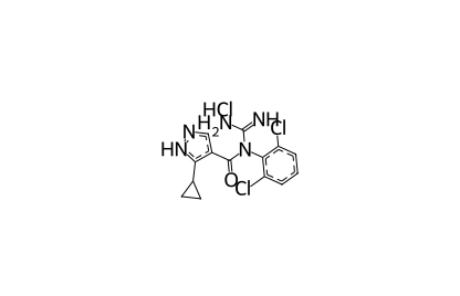 Cl.N=C(N)N(C(=O)c1cn[nH]c1C1CC1)c1c(Cl)cccc1Cl